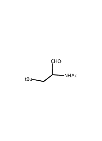 CC(=O)NC([C]=O)CC(C)(C)C